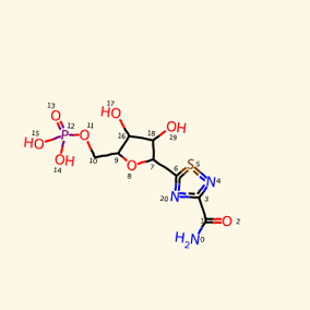 NC(=O)c1nsc(C2OC(COP(=O)(O)O)C(O)C2O)n1